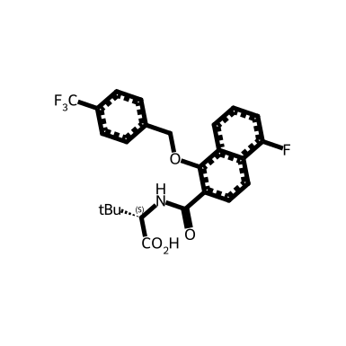 CC(C)(C)[C@H](NC(=O)c1ccc2c(F)cccc2c1OCc1ccc(C(F)(F)F)cc1)C(=O)O